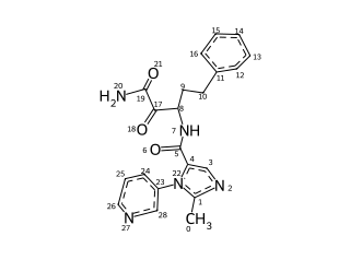 Cc1ncc(C(=O)NC(CCc2ccccc2)C(=O)C(N)=O)n1-c1cccnc1